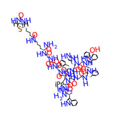 CC(C)[C@H](NC(=O)[C@@H](N)Cc1c[nH]c2ccccc12)C(=O)N1CCC[C@H]1C(=O)NCC(=O)N[C@@H](Cc1ccccc1)C(=O)N[C@@H](Cc1c[nH]c2ccccc12)C(=O)N[C@@H](Cc1ccc(O)cc1)C(=O)N[C@@H](Cc1c[nH]cn1)C(=O)N[C@@H](Cc1ccc(O)cc1)C(=O)N[C@@H](CCCCN)C(=O)NCC(=O)NCC(=O)NCC(=O)N[C@@H](CCCCNC(=O)CCCC[C@@H]1SC[C@@H]2NC(=O)N[C@@H]21)C(N)=O